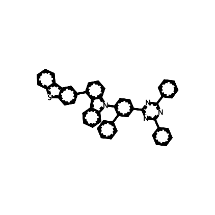 c1ccc(-c2nc(-c3ccccc3)nc(-c3ccc(-n4c5ccccc5c5c(-c6ccc7sc8ccccc8c7c6)cccc54)c(-c4ccccc4)c3)n2)cc1